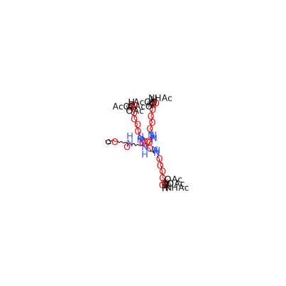 CC(=O)N[C@H]1[C@H]2OC[C@](COCCOCCOCCOCCn3cc(COCC(COCc4cn(CCOCCOCCOCCOC[C@@]56CO[C@@H](O5)[C@H](NC(C)=O)[C@@H](OC(C)=O)[C@H]6OC(C)=O)nn4)(COCc4cn(CCOCCOCCOCCOC[C@]56CO[C@H](C[C@@H](OC(C)=O)[C@H]5OC(C)=O)O6)nn4)NC(=O)CCCCCNC(=O)CCCCCOCc4ccccc4)nn3)(O2)[C@H](OC(C)=O)[C@@H]1OC(C)=O